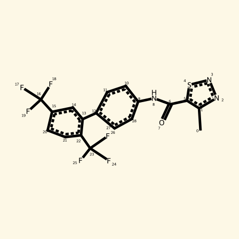 Cc1nnsc1C(=O)Nc1ccc(-c2cc(C(F)(F)F)ccc2C(F)(F)F)cc1